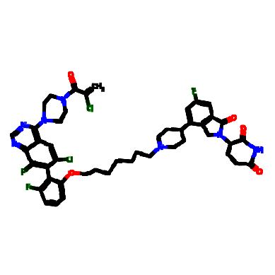 C=C(Cl)C(=O)N1CCN(c2ncnc3c(F)c(-c4c(F)cccc4OCCCCCCCN4CCC(c5cc(F)cc6c5CN(C5CCC(=O)NC5=O)C6=O)CC4)c(Cl)cc23)CC1